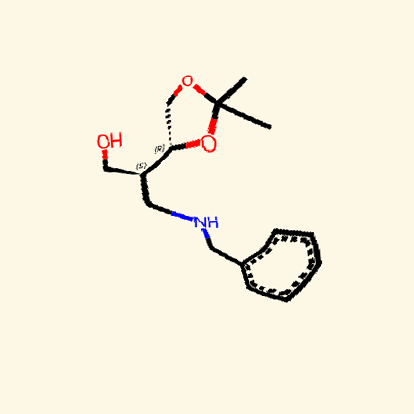 CC1(C)OC[C@@H]([C@H](CO)CNCc2ccccc2)O1